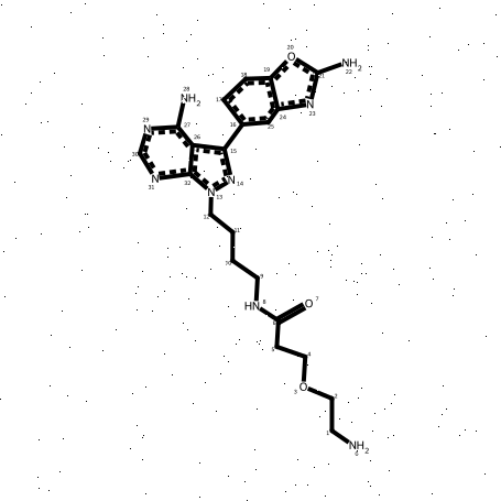 NCCOCCC(=O)NCCCCn1nc(-c2ccc3oc(N)nc3c2)c2c(N)ncnc21